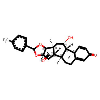 CSC(=O)[C@@]12OC(c3ccc(C(F)(F)F)cc3)O[C@@H]1C[C@H]1[C@@H]3CCC4=CC(=O)C=C[C@]4(C)[C@H]3[C@@H](O)C[C@@]12C